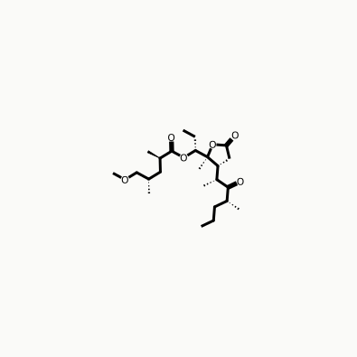 CCC[C@@H](C)C(=O)[C@H](C)[C@H]1CC(=O)O[C@]1(C)[C@@H](CC)OC(=O)[C@H](C)C[C@H](C)COC